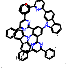 Cc1ccc2c(c1)c1ccccc1n2-c1c(-c2nc(-c3ccccc3)cc(-c3ccccc3)n2)cc(-n2c3ccccc3c3ccc(-c4cccc(-c5ccccc5)n4)cc32)cc1-c1nc(-c2ccccc2)cc(-c2ccccc2)n1